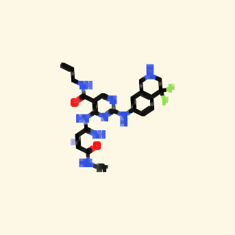 C=CCNC(=O)c1cnc(Nc2ccc3c(c2)CNCC3(F)F)nc1NC(=N)/C=C\C(=O)NC(C)C